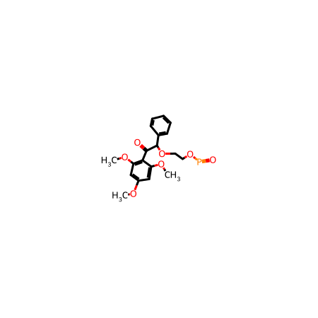 COc1cc(OC)c(C(=O)C(OCCOP=O)c2ccccc2)c(OC)c1